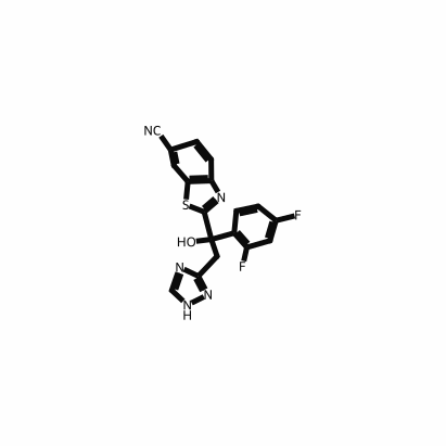 N#Cc1ccc2nc(C(O)(Cc3nc[nH]n3)c3ccc(F)cc3F)sc2c1